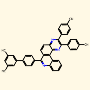 N#Cc1ccc(-c2nc3ccc4c(-c5ccc(-c6cc(C#N)cc(C#N)c6)cc5)nc5ccccc5c4c3nc2-c2ccc(C#N)cc2)cc1